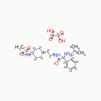 CC(C)n1nc(C(=O)NCCN2CCC(NS(C)(=O)=O)CC2)c2ccccc21.O=C(O)C(=O)O